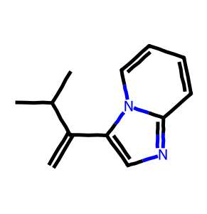 C=C(c1cnc2ccccn12)C(C)C